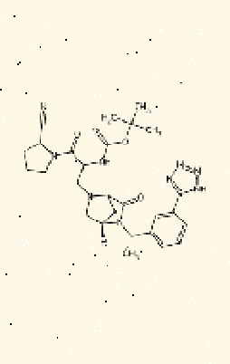 C[C@@H](c1cccc(-c2nnn[nH]2)c1)N1C(=O)C2C[C@H]1CN2CC(NC(=O)OC(C)(C)C)C(=O)N1CCCC1C#N